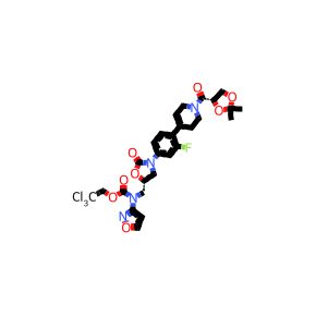 CC1(C)OC[C@@H](C(=O)N2CC=C(c3ccc(N4C[C@H](CN(C(=O)OCC(Cl)(Cl)Cl)c5ccon5)OC4=O)cc3F)CC2)O1